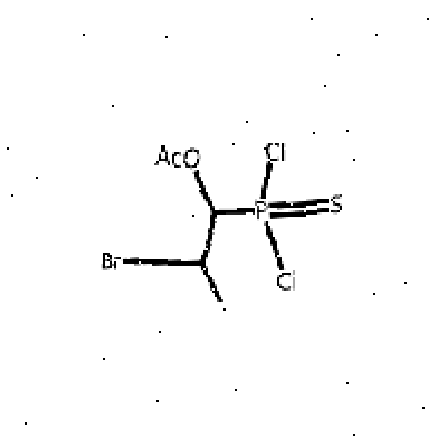 CC(=O)OC(C(C)Br)P(=S)(Cl)Cl